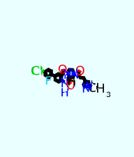 Cn1cc(CCC(=O)N2CCN3C(=O)c4cc(-c5ccc(Cl)cc5F)ccc4NC(=O)[C@H]3C2)cn1